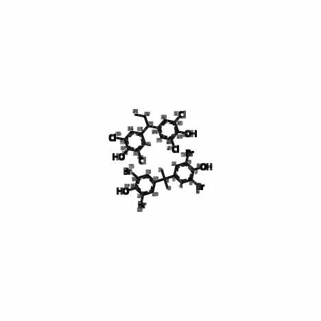 CC(C)(c1cc(Br)c(O)c(Br)c1)c1cc(Br)c(O)c(Br)c1.CCC(c1cc(Cl)c(O)c(Cl)c1)c1cc(Cl)c(O)c(Cl)c1